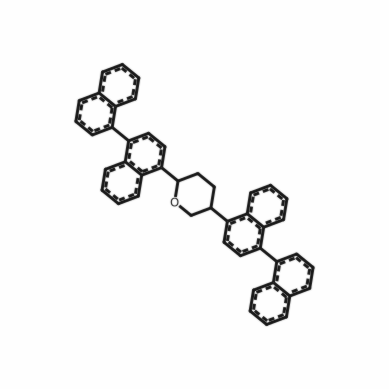 c1ccc2c(-c3ccc(C4CCC(c5ccc(-c6cccc7ccccc67)c6ccccc56)OC4)c4ccccc34)cccc2c1